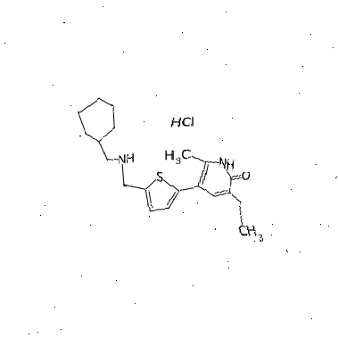 CCc1cc(-c2ccc(CNCC3CCCCC3)s2)c(C)[nH]c1=O.Cl